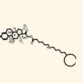 C[C@H]1C[C@@H]2[C@H]3CCC4=CC(=O)C=C[C@@]4(C)[C@]3(F)[C@H](O)C[C@@]2(C)[C@]1(O)C(=O)COC(=O)CCCCCNCCCCCC1CCCCCCCCCC1